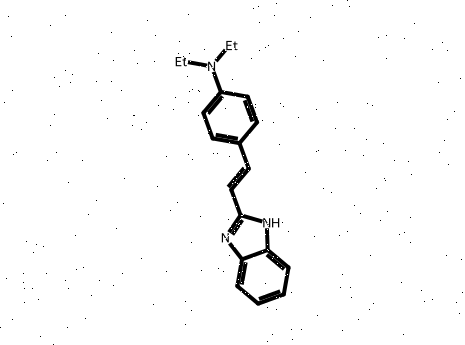 CCN(CC)c1ccc(/C=C/c2nc3ccccc3[nH]2)cc1